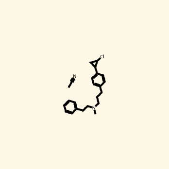 CC#N.CN(CCCc1ccc(C2CC2Cl)cc1)CCc1ccccc1